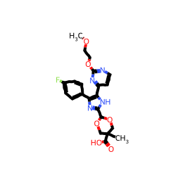 COCCOc1nccc(-c2[nH]c(C3OCC(C)(C(=O)O)CO3)nc2-c2ccc(F)cc2)n1